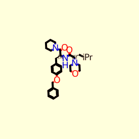 CC(C)C[C@@H](C(=O)N[C@@H](Cc1ccc(OCc2ccccc2)cc1)C(=O)N1CCCCC1)N1CCOCC1